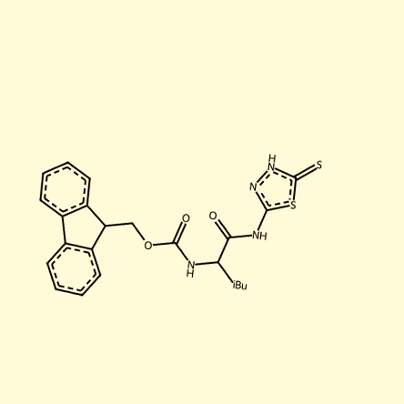 CCC(C)C(NC(=O)OCC1c2ccccc2-c2ccccc21)C(=O)Nc1n[nH]c(=S)s1